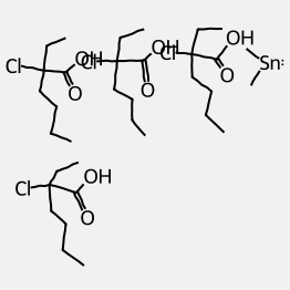 CCCCC(Cl)(CC)C(=O)O.CCCCC(Cl)(CC)C(=O)O.CCCCC(Cl)(CC)C(=O)O.CCCCC(Cl)(CC)C(=O)O.[CH3][Sn][CH3]